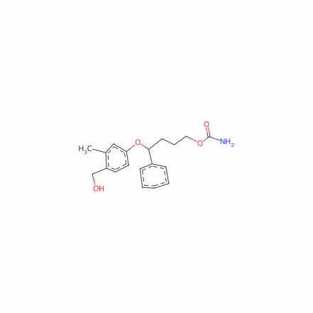 Cc1cc(OC(CCCOC(N)=O)c2ccccc2)ccc1CO